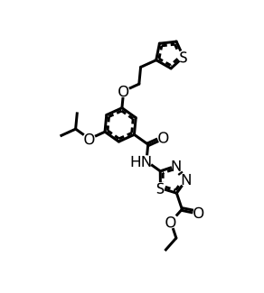 CCOC(=O)c1nnc(NC(=O)c2cc(OCCc3ccsc3)cc(OC(C)C)c2)s1